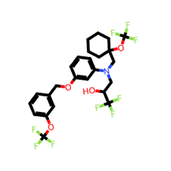 OC(CN(CC1(OC(F)(F)F)CCCCC1)c1cccc(OCc2cccc(OC(F)(F)F)c2)c1)C(F)(F)F